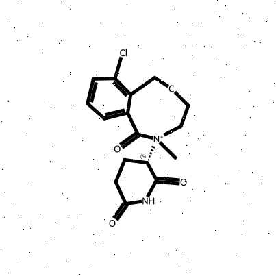 C[N+]1([C@H]2CCC(=O)NC2=O)CCCCc2c(Cl)cccc2C1=O